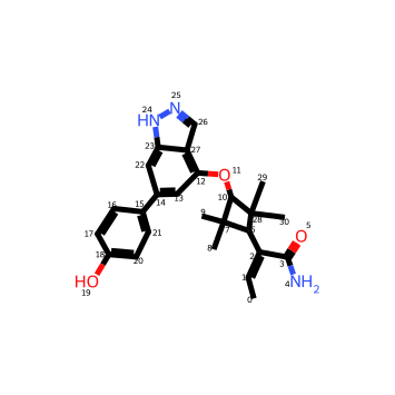 CC=C(C(N)=O)C1C(C)(C)C(Oc2cc(-c3ccc(O)cc3)cc3[nH]ncc23)C1(C)C